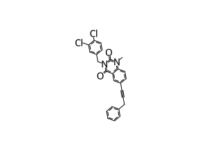 Cn1c(=O)n(Cc2ccc(Cl)c(Cl)c2)c(=O)c2cc(C#CCc3ccccc3)ccc21